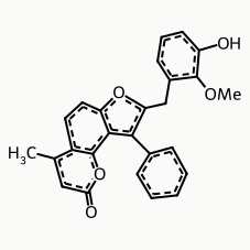 COc1c(O)cccc1Cc1oc2ccc3c(C)cc(=O)oc3c2c1-c1ccccc1